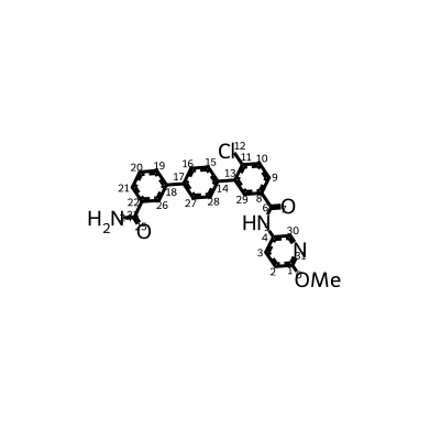 COc1ccc(NC(=O)c2ccc(Cl)c(-c3ccc(-c4cccc(C(N)=O)c4)cc3)c2)cn1